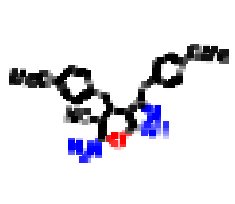 COc1ccc(Cc2n[nH]c3c2C(Cc2ccc(OC)cc2)C(C#N)=C(N)O3)cc1